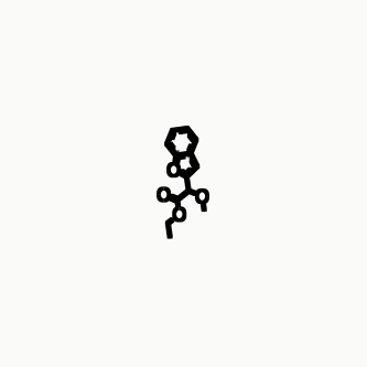 CCOC(=O)C(OC)c1cc2ccccc2o1